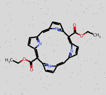 CCOC(=O)C1=C2C=CC(=N2)C=C2C=CC(=N2)C(C(=O)OCC)=C2C=CC(=N2)C=C2C=CC1=N2